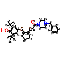 CC(C)(C)c1cc(S[C@@H]2CCCC[C@H]2SCC(=O)N2CCN(Cc3ccccc3)CC2)cc(C(C)(C)C)c1O